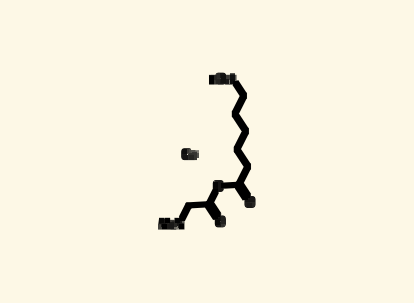 CCCCCCCCCCCCCC(=O)OC(=O)CNC.[Ca]